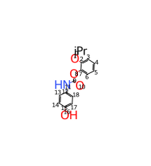 CC(C)Oc1ccccc1OC(=O)Nc1ccc(O)cc1